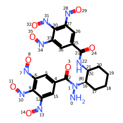 NN(C(=O)c1cc(N=O)c(N=O)c(N=O)c1)[C@@H]1CCCC[C@@H]1NC(=O)c1cc(N=O)c(N=O)c(N=O)c1